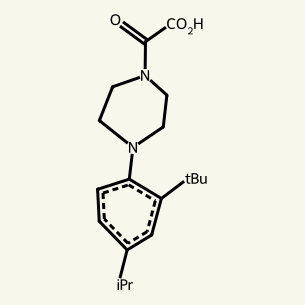 CC(C)c1ccc(N2CCN(C(=O)C(=O)O)CC2)c(C(C)(C)C)c1